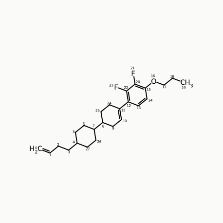 C=CCCC1CCC(C2CC=C(c3ccc(OCCC)c(F)c3F)CC2)CC1